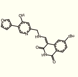 CC(C)(C)c1ccc2c(c1)C(=CNCc1cc(O)c(-c3ccoc3)cn1)C(=O)NC2=O